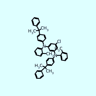 Cc1ccccc1N(c1ccc(C(C)(C)c2ccccc2)cc1)c1cc(Cl)cc(N(c2ccc(C(C)(C)c3ccccc3)cc2)c2ccccc2C)c1